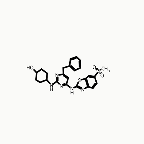 CS(=O)(=O)c1ccc2nc(Nc3cc(Cc4ccccc4)nc(NC4CCC(O)CC4)n3)sc2c1